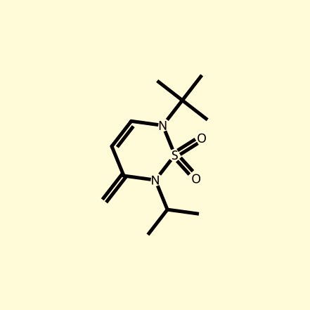 C=C1C=CN(C(C)(C)C)S(=O)(=O)N1C(C)C